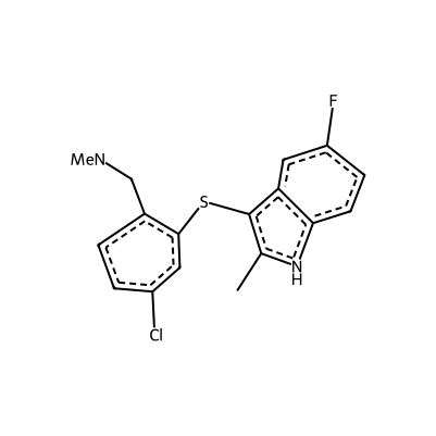 CNCc1ccc(Cl)cc1Sc1c(C)[nH]c2ccc(F)cc12